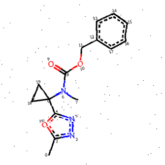 Cc1nnc(C2(N(C)C(=O)OCc3ccccc3)CC2)o1